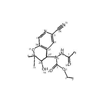 CCOC(=O)N(NC(C)=O)C1c2cc(C#N)ccc2OC(C)(C)C1O